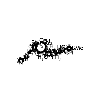 CC[C@H]1OC(=O)[C@H](C)C(=O)[C@H](C)[C@@H](O[C@@H]2O[C@H](C)C[C@H](N(C)CCc3cn(C(CO)[C@@H](O)c4ccc(SC)cc4)nn3)[C@H]2O)[C@](C)(OC)C[C@@H](C)C(=O)[C@H](C)[C@@H]2N(CCCCn3cnc(-c4cccnc4)c3)C(=O)O[C@@]21C